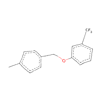 Cc1ccc(COc2cccc(C(F)(F)F)c2)cc1